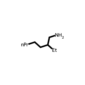 [CH2]CCCCC(CC)CN